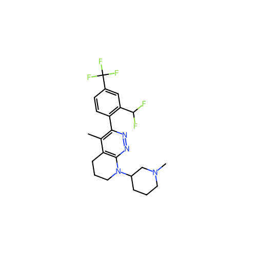 Cc1c(-c2ccc(C(F)(F)F)cc2C(F)F)nnc2c1CCCN2C1CCCN(C)C1